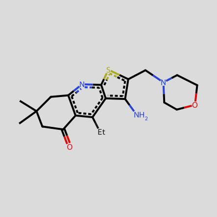 CCc1c2c(nc3sc(CN4CCOCC4)c(N)c13)CC(C)(C)CC2=O